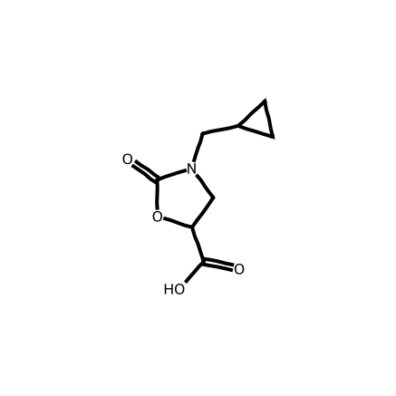 O=C(O)C1CN(CC2CC2)C(=O)O1